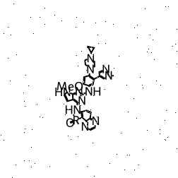 COc1cc(N2CCN(C3CC3)CC2)c(-c2cnn(C)c2)cc1Nc1nc(Nc2ccc3nccnc3c2P(C)(C)=O)c2cc[nH]c2n1